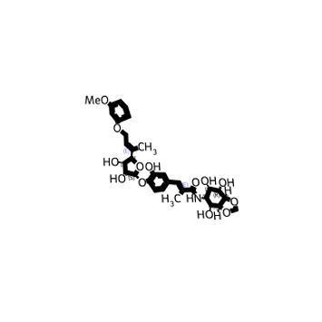 COc1cccc(OC/C=C(\C)[C@H]2O[C@@H](Oc3ccc(/C=C(\C)C(=O)N[C@@H]4[C@H](O)[C@@H](O)[C@H]5OCO[C@H]5[C@@H]4O)cc3O)[C@@H](O)[C@@H]2O)c1